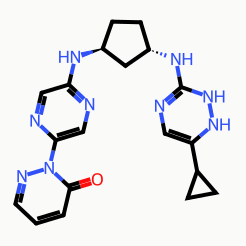 O=c1cccnn1-c1cnc(N[C@H]2CC[C@H](NC3=NC=C(C4CC4)NN3)C2)cn1